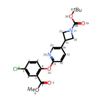 COC(=O)c1cc(Cl)ccc1Oc1ccc(C2CN(C(=O)OC(C)(C)C)C2)cn1